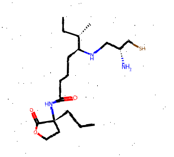 CCC[C@@]1(NC(=O)CCC[C@H](NC[C@@H](N)CS)[C@@H](C)CC)CCOC1=O